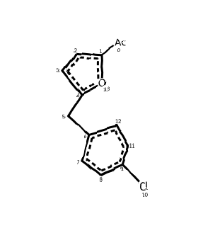 CC(=O)c1ccc(Cc2ccc(Cl)cc2)o1